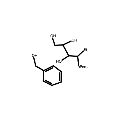 CCCCCC(CC)C(O)C(O)CO.OCc1ccccc1